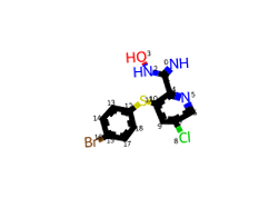 N=C(NO)c1ncc(Cl)cc1Sc1ccc(Br)cc1